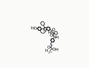 CC(O)C(=O)/C=C/c1ccc(NC(=O)C2(NC(=O)c3ccc4c(C5CCCCC5)c5n(c4c3)CCCc3cc(O)ccc3-5)CCCC2)cc1